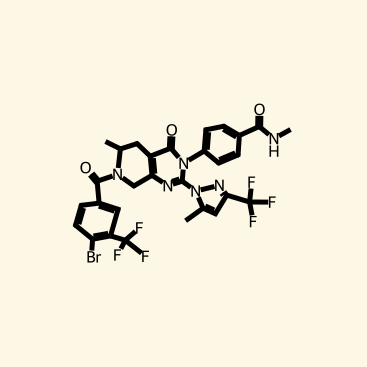 CNC(=O)c1ccc(-n2c(-n3nc(C(F)(F)F)cc3C)nc3c(c2=O)CC(C)N(C(=O)c2ccc(Br)c(C(F)(F)F)c2)C3)cc1